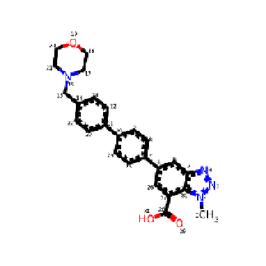 Cn1nnc2cc(-c3ccc(-c4ccc(CN5CCOCC5)cc4)cc3)cc(C(=O)O)c21